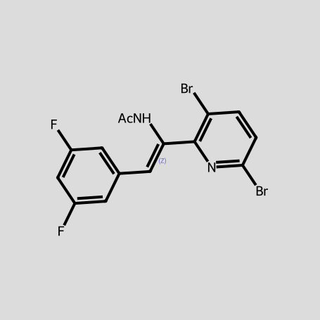 CC(=O)N/C(=C\c1cc(F)cc(F)c1)c1nc(Br)ccc1Br